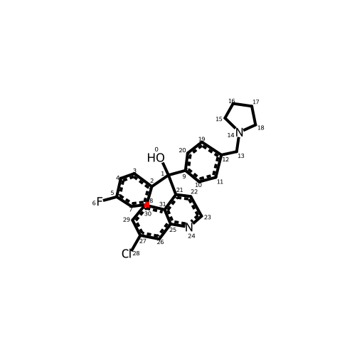 OC(c1ccc(F)cc1)(c1ccc(CN2CCCC2)cc1)c1ccnc2cc(Cl)ccc12